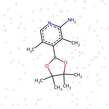 Cc1cnc(N)c(C)c1B1OC(C)(C)C(C)(C)O1